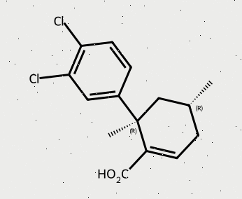 C[C@@H]1CC=C(C(=O)O)[C@@](C)(c2ccc(Cl)c(Cl)c2)C1